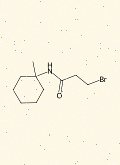 CC1(NC(=O)CCBr)CCCCC1